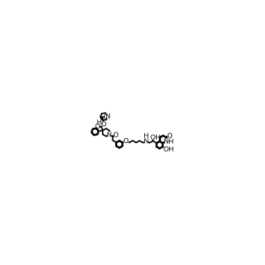 O=C(Cc1cccc(OCCCCCNCC(O)c2ccc(O)c3[nH]c(=O)ccc23)c1)N1CCC(C(=O)O[C@H]2CN3CCC2CC3)(c2ccccc2)CC1